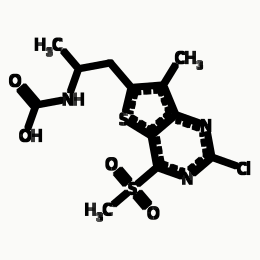 Cc1c(CC(C)NC(=O)O)sc2c(S(C)(=O)=O)nc(Cl)nc12